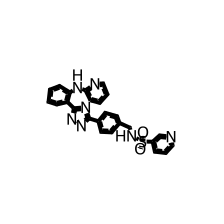 O=S(=O)(NCc1ccc(-c2nnc3n2-c2cccnc2Nc2ccccc2-3)cc1)c1cccnc1